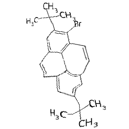 CC(C)(C)c1cc2ccc3cc(C(C)(C)C)c(Br)c4ccc(c1)c2c34